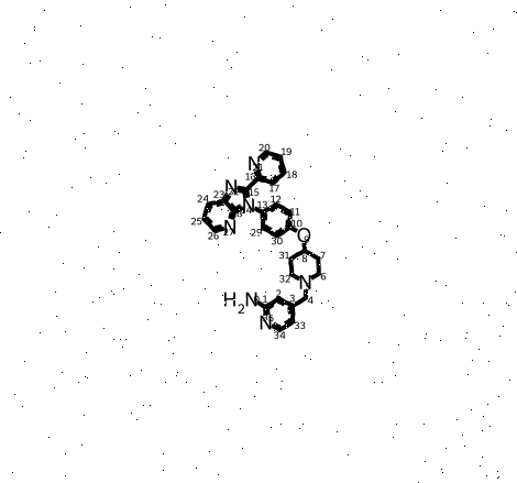 Nc1cc(CN2CCC(Oc3ccc(-n4c(-c5ccccn5)nc5cccnc54)cc3)CC2)ccn1